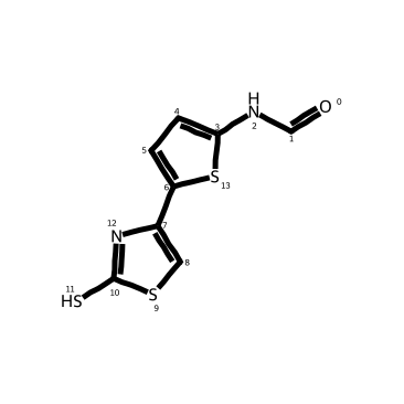 O=CNc1ccc(-c2csc(S)n2)s1